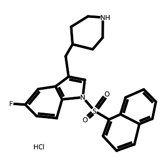 Cl.O=S(=O)(c1cccc2ccccc12)n1cc(CC2CCNCC2)c2cc(F)ccc21